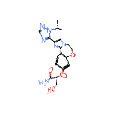 CC(C)n1ncnc1-c1cn2c(n1)-c1ccc(O[C@@H](CO)C(N)=O)cc1OCC2